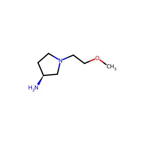 COCCN1CC[C@H](N)C1